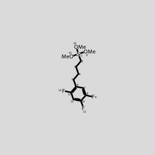 CO[Si](CCCCc1cc(F)c(F)cc1F)(OC)OC